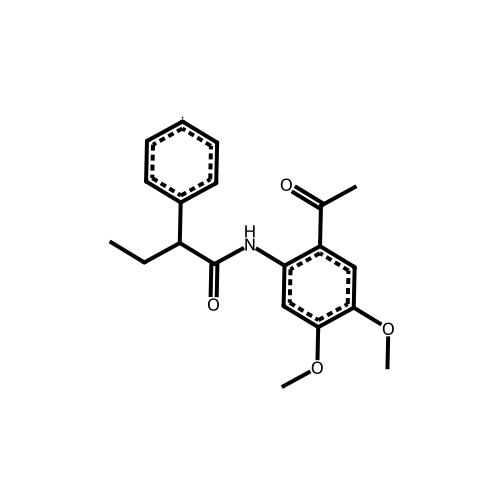 CCC(C(=O)Nc1cc(OC)c(OC)cc1C(C)=O)c1cc[c]cc1